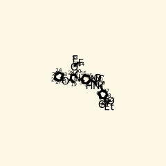 CCS(=O)(=O)c1ccc([C@H](CC#N)NC(=O)c2ccc(N3C[C@@H](Oc4ccccc4)C[C@H]3COC(F)F)cc2)cc1